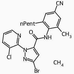 C.CCCCCc1cc(C#N)cc(C)c1NC(=O)c1cc(Br)nn1-c1ncccc1Cl